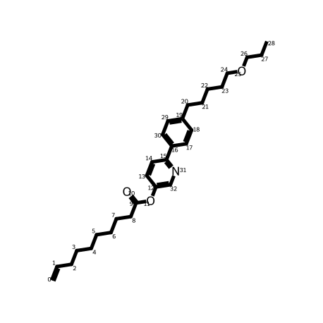 C=CCCCCCCCC(=O)Oc1ccc(-c2ccc(CCCCCOCCC)cc2)nc1